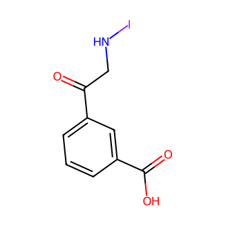 O=C(O)c1cccc(C(=O)CNI)c1